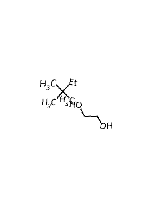 CCC(C)(C)C.OCCO